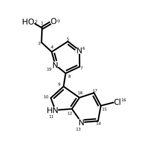 O=C(O)Cc1cncc(-c2c[nH]c3ncc(Cl)cc23)n1